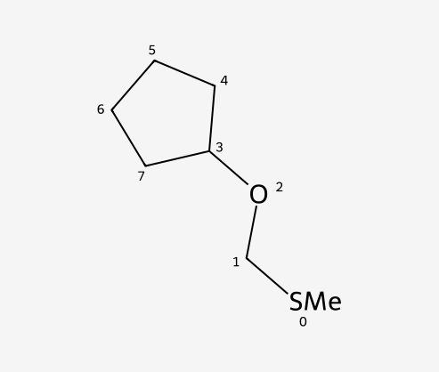 CSCOC1CCCC1